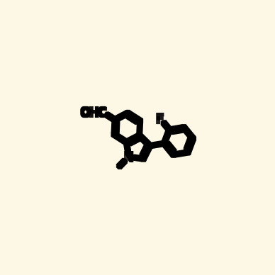 Cn1cc(-c2ccccc2F)c2ccc(C=O)cc21